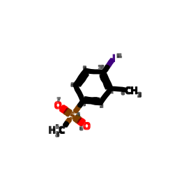 Cc1cc(S(C)(=O)=O)ccc1I